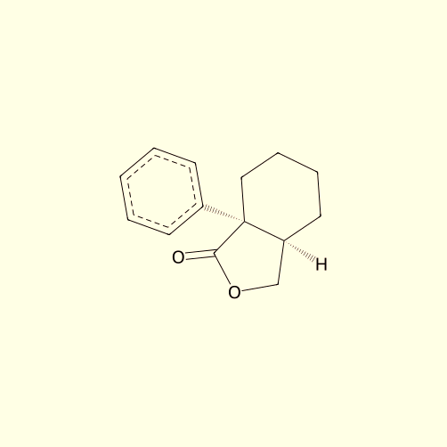 O=C1OC[C@@H]2CCCC[C@]12c1ccccc1